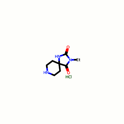 CCN1C(=O)NC2(CCNCC2)C1=O.Cl